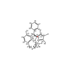 CC1=C(C)C(C)[C]([Zr]([CH3])([CH3])(=[SiH2])[CH]2C(C)=C(c3ccccc3)c3c(C)ccc(C)c32)=C1C